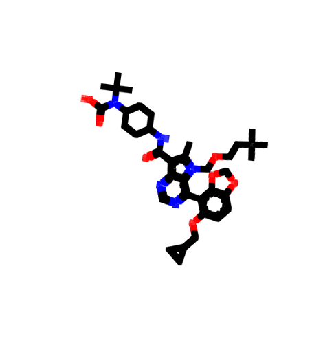 Cc1c(C(=O)NC2CCC(N(C(=O)O)C(C)(C)C)CC2)c2ncnc(-c3c(OCC4CC4)ccc4c3OCO4)c2n1COCC[Si](C)(C)C